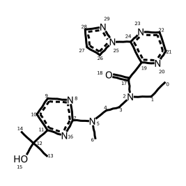 CCN(CCN(C)c1nccc(C(C)(C)O)n1)C(=O)c1nccnc1-n1cccn1